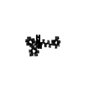 c1ccc(CCCCC2=N[C@H](c3ccccc3)[C@H](c3ccccc3)N2)cc1